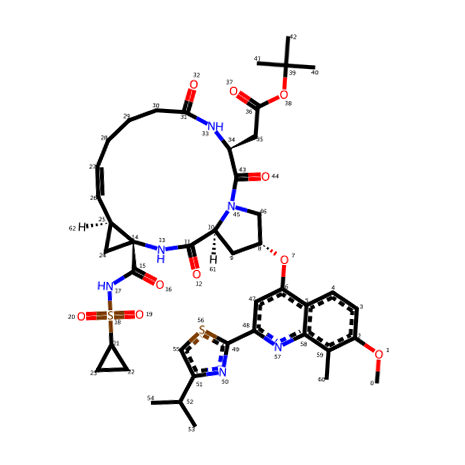 COc1ccc2c(O[C@@H]3C[C@H]4C(=O)N[C@]5(C(=O)NS(=O)(=O)C6CC6)C[C@H]5/C=C\CCCC(=O)N[C@@H](CC(=O)OC(C)(C)C)C(=O)N4C3)cc(-c3nc(C(C)C)cs3)nc2c1C